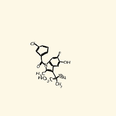 Cc1c([C@](C)(C(=O)O)C(C)(C)C)c2cc(O)c(F)cc2n1C(=O)c1cccc(Cl)c1